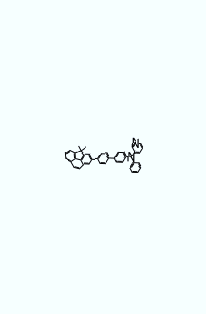 CC1(C)c2cccc3ccc4cc(-c5ccc(-c6ccc(N(c7ccccc7)c7cccnc7)cc6)cc5)cc1c4c23